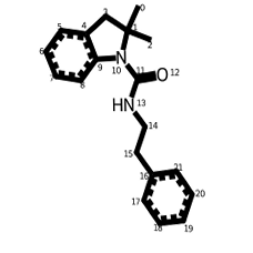 CC1(C)Cc2ccccc2N1C(=O)NCCc1ccccc1